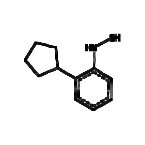 SNc1ccccc1C1CCCC1